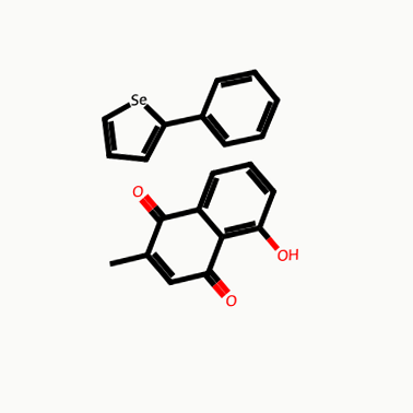 CC1=CC(=O)c2c(O)cccc2C1=O.c1ccc(-c2ccc[se]2)cc1